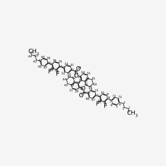 CCCCc1ccc(-c2ccc(-c3ccc(C(=O)Oc4ccc5c(c4-c4c(OC(=O)c6ccc(-c7ccc(-c8ccc(CCCC)cc8)c(F)c7F)cc6)ccc6c4CCCC6)CCCC5)cc3)c(F)c2F)cc1